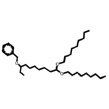 CCCCCCCCCOC(CCCCCCC(CC)OCc1ccccc1)OCCCCCCCCC